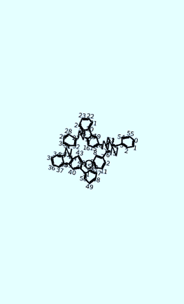 c1ccc(-c2nc(-c3ccccc3)n(-c3ccc4c(c3)c3ccccc3n4-c3cccc(-n4c5ccccc5c5cc6c(cc54)oc4ccccc46)c3)n2)cc1